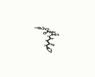 CCCCOC(=O)NC(CC)CCCCCCl